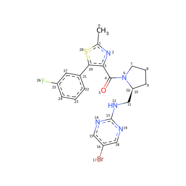 Cc1nc(C(=O)N2CCC[C@H]2CNc2ncc(Br)cn2)c(-c2cccc(F)c2)s1